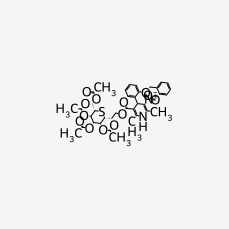 CC(=O)OC[C@@H]1S[C@H](CCOC(=O)C2=C(C)NC(C)=C([N+](=O)[O-])C2c2ccccc2OCc2ccccc2)[C@H](OC(C)=O)[C@@H](OC(C)=O)[C@@H]1OC(C)=O